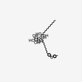 CCCCCCCCCCCCCC[C@@H](O)[C@@H](O)[C@H](CO[C@H]1OC(CO)[C@H](O)C(O)[C@@H]1O)NC(=O)CCCCCCCCCCc1ccc(Oc2ccc(C)cc2)cc1